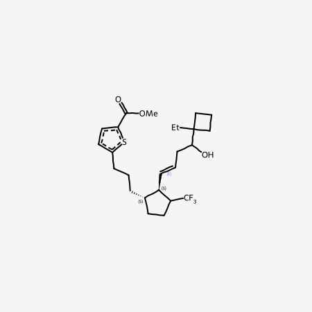 CCC1(C(O)C/C=C/[C@H]2C(C(F)(F)F)CC[C@@H]2CCCc2ccc(C(=O)OC)s2)CCC1